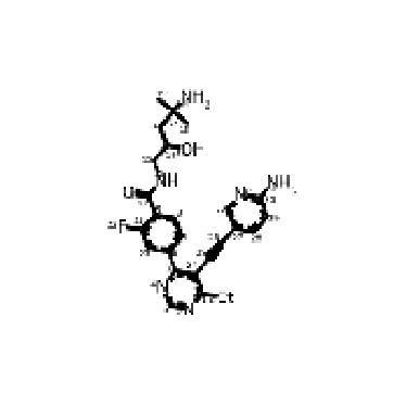 CCc1ncnc(-c2ccc(C(=O)NCC(O)CC(C)(C)N)c(F)c2)c1C#Cc1ccc(N)nc1